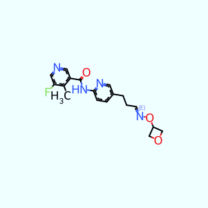 Cc1c(F)cncc1C(=O)Nc1ccc(CC/C=N/OC2COC2)cn1